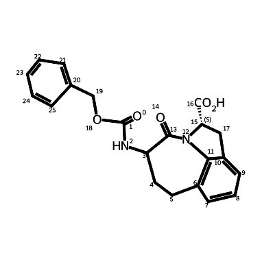 O=C(NC1CCc2cccc3c2N(C1=O)[C@H](C(=O)O)C3)OCc1ccccc1